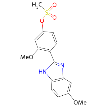 COc1ccc2[nH]c(-c3ccc(OS(C)(=O)=O)cc3OC)nc2c1